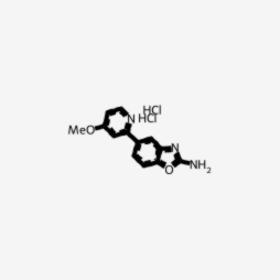 COc1ccnc(-c2ccc3oc(N)nc3c2)c1.Cl.Cl